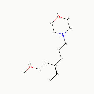 CC[C@H](CCCN1CCOCC1)CCOC